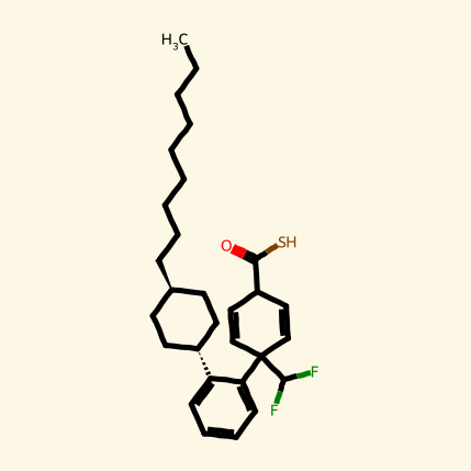 CCCCCCCCC[C@H]1CC[C@H](c2ccccc2C2(C(F)F)C=CC(C(=O)S)C=C2)CC1